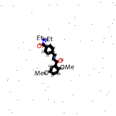 CCN(CC)C(=O)c1ccc(/C=C/C(=O)c2cc(OC)ccc2OC)cc1